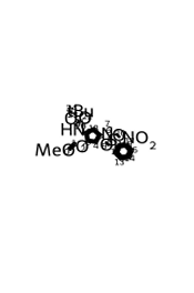 COCO[C@H]1C[C@@H](N(C)S(=O)(=O)c2ccccc2[N+](=O)[O-])C[C@H]1NC(=O)OC(C)(C)C